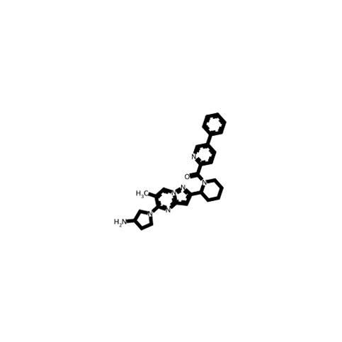 Cc1cn2nc(C3CCCCN3C(=O)c3ccc(-c4ccccc4)cn3)cc2nc1N1CCC(N)C1